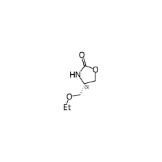 CCOC[C@H]1COC(=O)N1